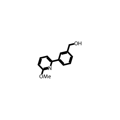 COc1cccc(-c2cccc(CO)c2)n1